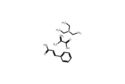 C=C(C)C(=O)O.CCN(CC)CC.O=C(O)C=Cc1ccccc1